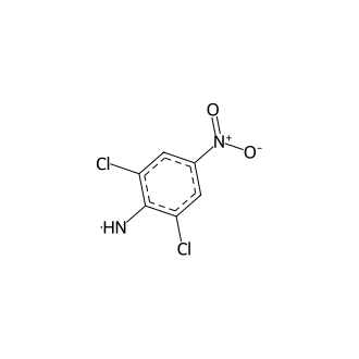 [NH]c1c(Cl)cc([N+](=O)[O-])cc1Cl